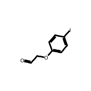 O=CCOc1ccc(I)cc1